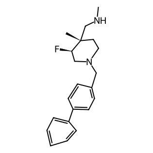 CNC[C@]1(C)CCN(Cc2ccc(-c3ccccc3)cc2)C[C@H]1F